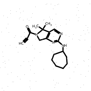 C#CC(=O)N1Cc2nc(NC3CCCCCC3)ncc2C1(C)C